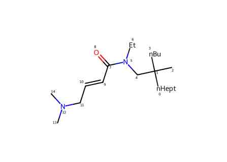 CCCCCCCC(C)(CCCC)CN(CC)C(=O)/C=C/CN(C)C